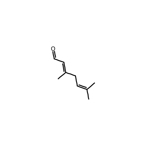 CC(C)=CC/C(C)=C/C=O